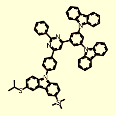 CC(C)Sc1ccc2c(c1)c1cc([Si](C)(C)C)ccc1n2-c1ccc(-c2cc(-c3cc(-n4c5ccccc5c5ccccc54)cc(-n4c5ccccc5c5ccccc54)c3)nc(-c3ccccc3)n2)cc1